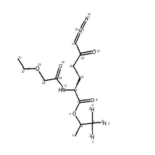 [2H]C([2H])([2H])C(C)OC(=O)[C@H](CCC(=O)C=[N+]=[N-])NC(=O)COCC